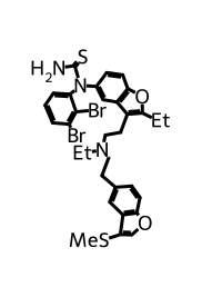 CCc1oc2ccc(N(C(N)=S)c3cccc(Br)c3Br)cc2c1CCN(CC)CCc1ccc2occ(SC)c2c1